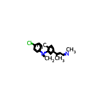 C=CN(c1ccc(Cl)cc1)c1cc(/C(C)=C/C=N\C)ccc1C